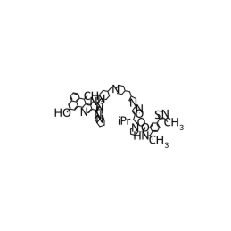 Cc1ncsc1-c1ccc([C@H](C)NC(=O)[C@@H]2CCCN2C(=O)[C@@H](c2cc(N3CC(CC4CCN(CC5CCN(c6nc(N7CC8CCC(C7)N8)c7cnc8c(c7n6)C(C)c6cccc7cc(O)cc-8c67)CC5)CC4)C3)no2)C(C)C)cc1